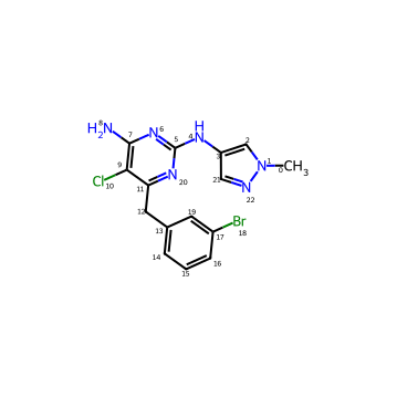 Cn1cc(Nc2nc(N)c(Cl)c(Cc3cccc(Br)c3)n2)cn1